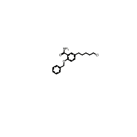 NC(=O)c1cc(CCCCCCl)ccc1OCc1ccccc1